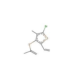 C=Cc1sc(Br)c(C)c1SC(=C)C